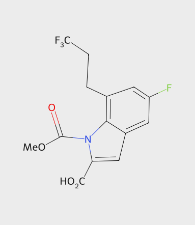 COC(=O)n1c(C(=O)O)cc2cc(F)cc(CCC(F)(F)F)c21